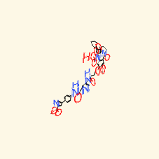 COC(=O)c1cc(-c2ccc(NC(=O)c3cc(NC(=O)CCCOc4cc5c(cc4OC)C(=O)N4CCCC[C@H]4[C@H](OC4CCCCO4)N5C(=O)O)cn3C)cc2)cn1C